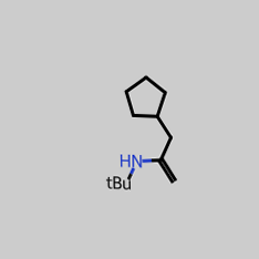 C=C(CC1CCCC1)NC(C)(C)C